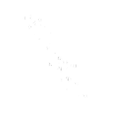 CC1(C(F)(F)F)CN(C(=O)OC2COC2)CCN1c1ncc(OCc2ccc(S(C)(=O)=O)cc2)cn1